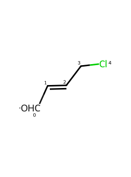 O=[C]C=CCCl